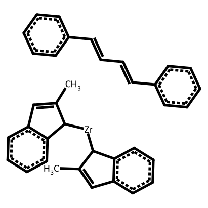 C(C=Cc1ccccc1)=Cc1ccccc1.CC1=Cc2ccccc2[CH]1[Zr][CH]1C(C)=Cc2ccccc21